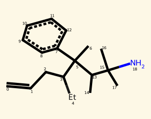 C=CCC(CC)C(C)(c1ccccc1)C(C)C(C)(C)N